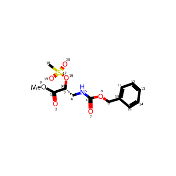 COC(=O)[C@@H](CNC(=O)OCc1ccccc1)OS(C)(=O)=O